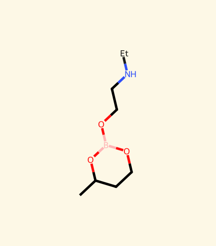 CCNCCOB1OCCC(C)O1